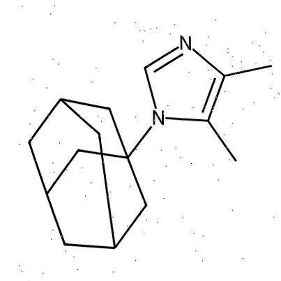 Cc1ncn(C23CC4CC(CC(C4)C2)C3)c1C